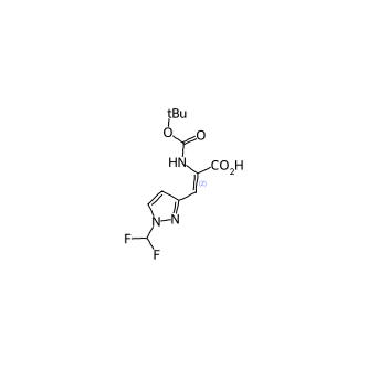 CC(C)(C)OC(=O)N/C(=C\c1ccn(C(F)F)n1)C(=O)O